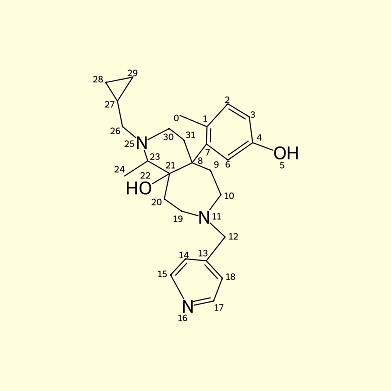 Cc1ccc(O)cc1C12CCN(Cc3ccncc3)CCC1(O)C(C)N(CC1CC1)CC2